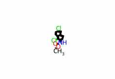 CCOC(=O)Nc1ccc2cc(Cl)ccc2c1Cl